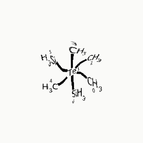 C[Te](C)(C)(C)([SiH3])[SiH3]